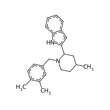 Cc1ccc(CN2CCC(C)CC2c2cc3ccccc3[nH]2)cc1C